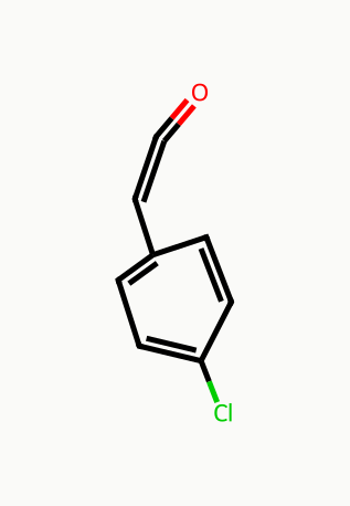 O=C=Cc1ccc(Cl)cc1